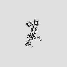 C=C1C(Cc2ccc(N(c3ccccc3)c3ccccc3)cc2)OC(=O)N1CCCCC